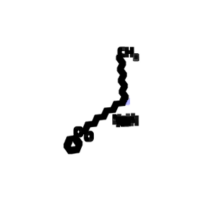 CCCCCCCC/C=C\CCCCCCCC(=O)Oc1ccccc1.[NaH].[NaH]